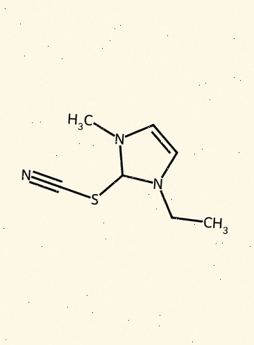 CCN1C=CN(C)C1SC#N